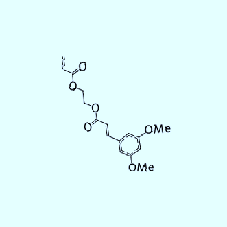 C=CC(=O)OCCOC(=O)/C=C/c1cc(OC)cc(OC)c1